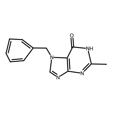 Cc1nc2ncn(Cc3ccccc3)c2c(=O)[nH]1